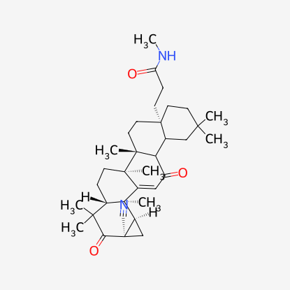 CNC(=O)CC[C@]12CCC(C)(C)CC1C1C(=O)C=C3[C@@]4(C)[C@H]5C[C@@]5(C#N)C(=O)C(C)(C)[C@@H]4CC[C@@]3(C)[C@]1(C)CC2